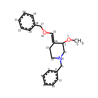 COC1CN(Cc2ccccc2)CC/C1=C\OCc1ccccc1